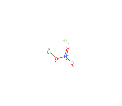 F.O=[N+]([O-])OCl